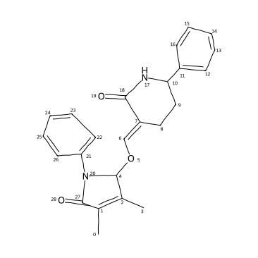 CC1=C(C)C(O/C=C2\CCC(c3ccccc3)NC2=O)N(c2ccccc2)C1=O